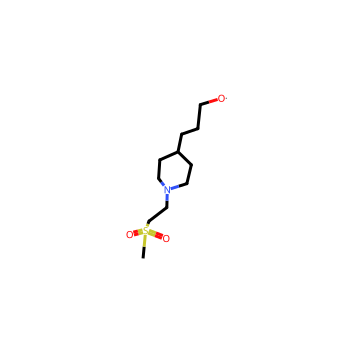 CS(=O)(=O)CCN1CCC(CCC[O])CC1